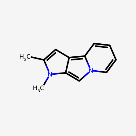 Cc1cc2c(cn3ccccc23)n1C